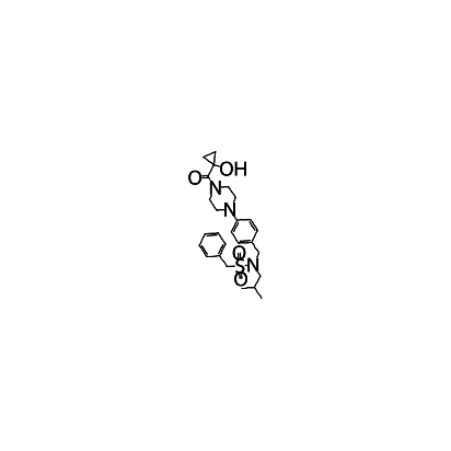 CC(C)CN(Cc1ccc(N2CCN(C(=O)C3(O)CC3)CC2)cc1)S(=O)(=O)Cc1ccccc1